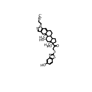 [C-]#[N+]CCn1ncc2c1C=C1CCC3C([C@@H](O)CC4(C)C3CC[C@]4(O)C(=O)CSc3nc4cc(O)ccc4s3)C1(C)C2